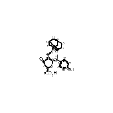 O=C(O)C1CC(=O)N(CCC23CC4CC(CC(C4)C2)C3)C(Nc2ccc(Cl)cc2)S1